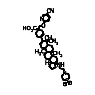 CC1(C)C(C2=CCC(COc3ccc(C#N)cn3)(C(=O)O)CC2)=CCC2(C)C1CC[C@@]1(C)C3CCC4(NCCN5CCS(=O)(=O)CC5)CCC[C@@H]4C3CCC21